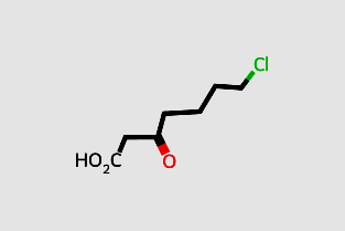 O=C(O)CC(=O)CCCCCl